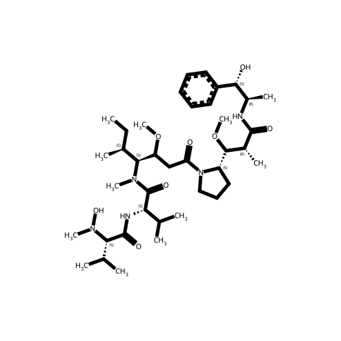 CC[C@H](C)[C@@H](C(CC(=O)N1CCC[C@H]1C(OC)[C@@H](C)C(=O)N[C@H](C)[C@@H](O)c1ccccc1)OC)N(C)C(=O)[C@@H](NC(=O)[C@H](C(C)C)N(C)O)C(C)C